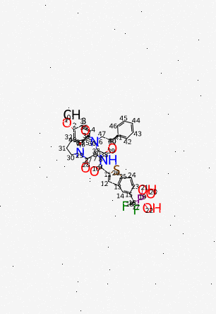 COc1ccc(C[C@H](NC(=O)c2cc3cc(C(F)(F)P(=O)(O)O)ccc3s2)C(=O)N2CCC[C@H]2C(=O)N2CCO[C@H](c3ccccc3)C2)cc1